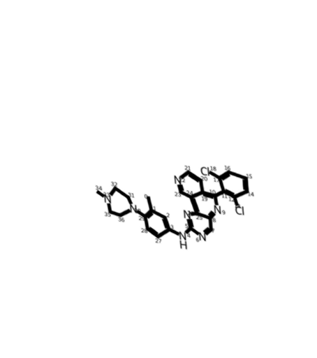 Cc1cc(Nc2ncc3nc(-c4c(Cl)cccc4Cl)c4ccncc4c3n2)ccc1N1CCN(C)CC1